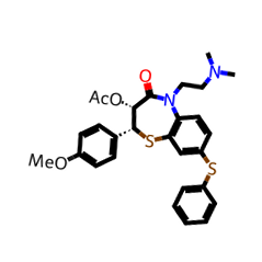 COc1ccc([C@H]2Sc3cc(Sc4ccccc4)ccc3N(CCN(C)C)C(=O)[C@H]2OC(C)=O)cc1